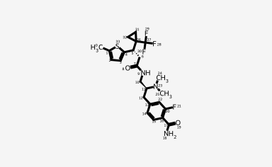 Cc1ccc([C@@H](CC(=O)NC[C@H](Cc2ccc(C(N)=O)c(F)c2)N(C)C)C2(C(F)(F)F)CC2)s1